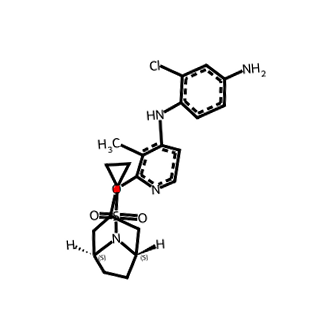 Cc1c(Nc2ccc(N)cc2Cl)ccnc1OC1C[C@@H]2CC[C@@H](C1)N2S(=O)(=O)C1CC1